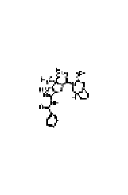 CCCC1CN2CCC[C@H]2CN1C(=O)N1Cc2c(NC(=O)c3ccccc3)n[nH]c2C1(C)C